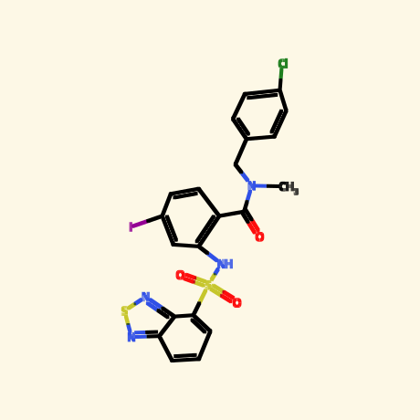 CN(Cc1ccc(Cl)cc1)C(=O)c1ccc(I)cc1NS(=O)(=O)c1cccc2nsnc12